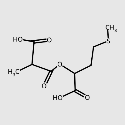 CSCCC(OC(=O)C(C)C(=O)O)C(=O)O